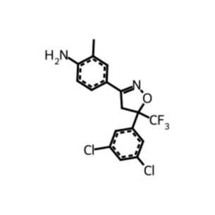 Cc1cc(C2=NOC(c3cc(Cl)cc(Cl)c3)(C(F)(F)F)C2)ccc1N